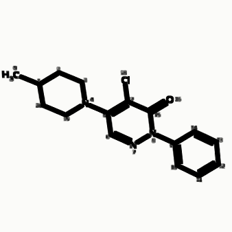 CC1CCN(c2cnn(-c3ccccc3)c(=O)c2Cl)CC1